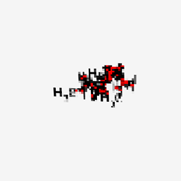 CCCCc1cc(I)cc(-c2nc(-c3cc(I)cc(I)c3)nc(-c3ccc(-n4c5ccccc5c5cc6c(cc54)C(C)(Cc4ccc5c(c4)C(C)(C)c4cc7c(cc4-5)c4ccccc4n7-c4ccc(-c5nc(-c7cc(I)cc(I)c7)nc(-c7cc(I)cc(CCCC)c7)n5)cc4-c4nc(-c5ccccc5)cc(-c5ccccc5)n4)c4ccccc4-6)c(-c4cc(-c5ccccc5)nc(-c5ccccc5)n4)c3)n2)c1